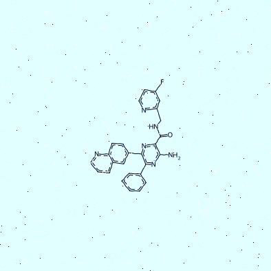 Nc1nc(-c2ccccc2)c(-c2ccc3ncccc3c2)nc1C(=O)NCc1cc(F)ccn1